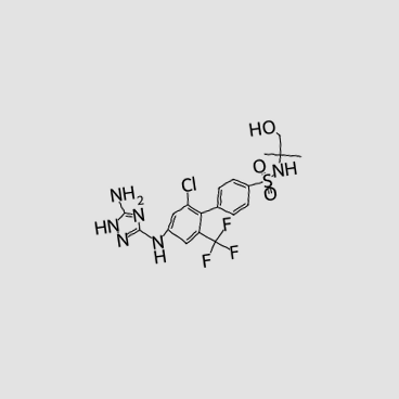 CC(C)(CO)NS(=O)(=O)c1ccc(-c2c(Cl)cc(Nc3n[nH]c(N)n3)cc2C(F)(F)F)cc1